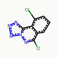 Clc1nn2nnnc2c2c(Cl)cccc12